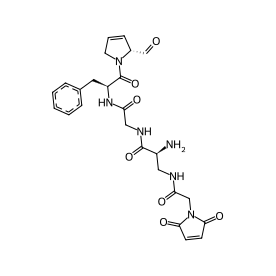 N[C@@H](CNC(=O)CN1C(=O)C=CC1=O)C(=O)NCC(=O)N[C@@H](Cc1ccccc1)C(=O)N1CC=C[C@@H]1C=O